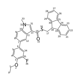 CCOc1ccc(-c2ccc3c(c2)c(C(=O)SCC2c4ccccc4-c4ccccc42)cn3C)cc1F